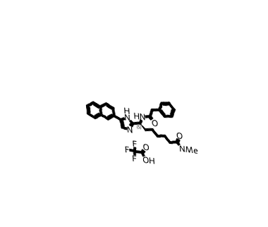 CNC(=O)CCCCC[C@H](NC(=O)Cc1ccccc1)c1ncc(-c2ccc3ccccc3c2)[nH]1.O=C(O)C(F)(F)F